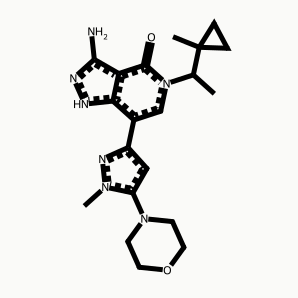 CC(n1cc(-c2cc(N3CCOCC3)n(C)n2)c2[nH]nc(N)c2c1=O)C1(C)CC1